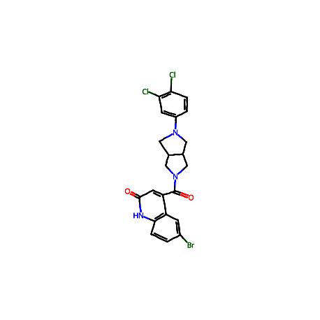 O=C(c1cc(=O)[nH]c2ccc(Br)cc12)N1CC2CN(c3ccc(Cl)c(Cl)c3)CC2C1